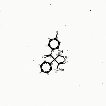 COC(=O)C(C(=O)c1ccc(C)cc1)(c1ccccc1)C(O)O